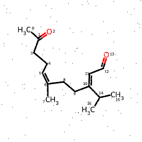 CC(=O)CCC=C(C)CCC(=CC=O)C(C)C